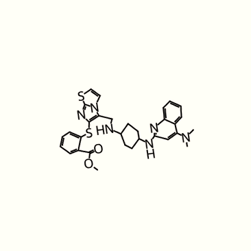 COC(=O)c1ccccc1Sc1nc2sccn2c1CNC1CCC(Nc2cc(N(C)C)c3ccccc3n2)CC1